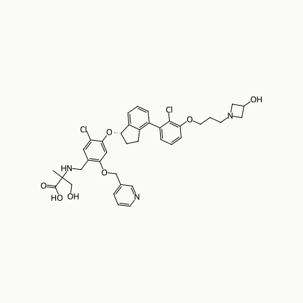 CC(CO)(NCc1cc(Cl)c(O[C@H]2CCc3c(-c4cccc(OCCCN5CC(O)C5)c4Cl)cccc32)cc1OCc1cccnc1)C(=O)O